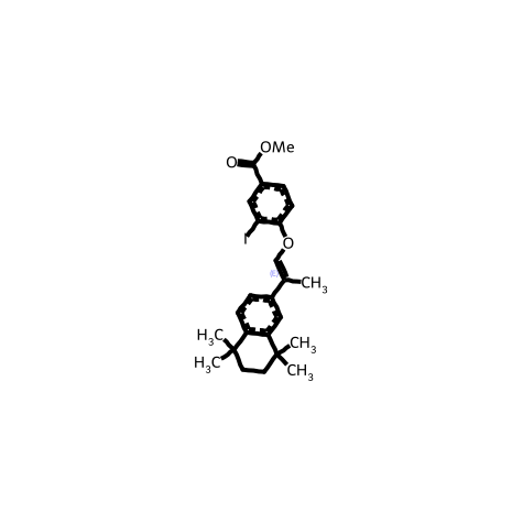 COC(=O)c1ccc(O/C=C(\C)c2ccc3c(c2)C(C)(C)CCC3(C)C)c(I)c1